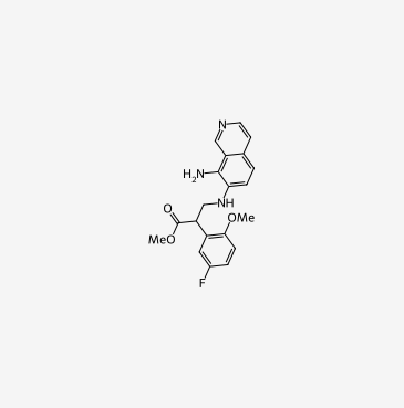 COC(=O)C(CNc1ccc2ccncc2c1N)c1cc(F)ccc1OC